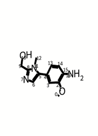 COc1cc(-c2cnc(CO)n2C)ccc1N